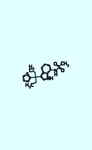 CCC(CC)(c1cccs1)c1c[nH]c2c(NS(C)(=O)=O)cccc12